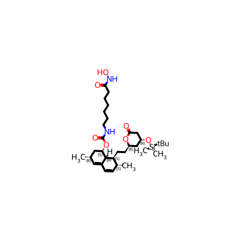 C[C@@H]1C=CC2=C[C@H](C)C[C@H](OC(=O)NCCCCCCC(=O)NO)[C@@H]2[C@H]1CC[C@@H]1C[C@@H](O[Si](C)(C)C(C)(C)C)CC(=O)O1